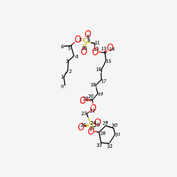 CCCCCC(C)OS(=O)(=O)COC(=O)CCCCCC(=O)OCS(=O)(=O)OC1CCCCC1